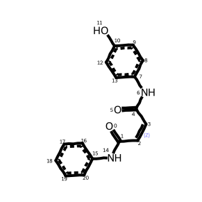 O=C(/C=C\C(=O)Nc1ccc(O)cc1)Nc1ccccc1